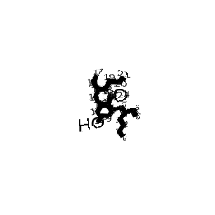 CCCCC(CC)Cc1cc(O)cc(CC(CC)CCCC)c1C=O